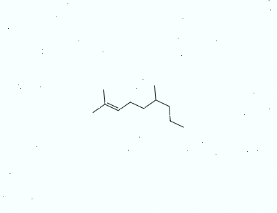 CCCC(C)CCC=C(C)C